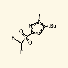 Cn1nc(S(=O)(=O)C(F)F)cc1C(C)(C)C